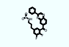 O=C(c1ccc2ncc(-c3ccccc3)nc2c1)c1cc(CCCN[SH](=O)=O)cc(F)c1F